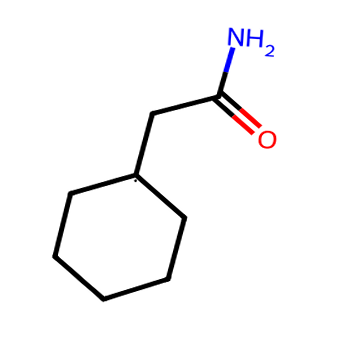 NC(=O)C[C]1CCCCC1